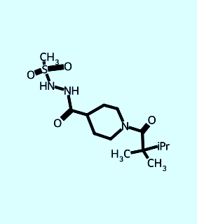 CC(C)C(C)(C)C(=O)N1CCC(C(=O)NNS(C)(=O)=O)CC1